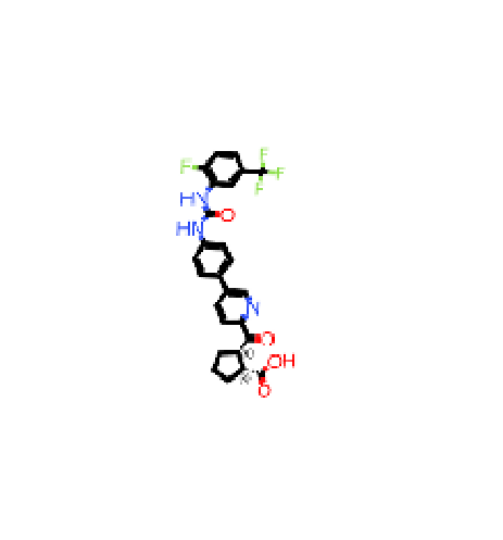 O=C(Nc1ccc(-c2ccc(C(=O)[C@@H]3CCC[C@H]3C(=O)O)nc2)cc1)Nc1cc(C(F)(F)F)ccc1F